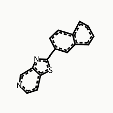 c1ccc2cc(-c3nc4cnccc4s3)ccc2c1